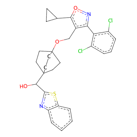 OC(c1nc2ccccc2s1)C12CCC(OCc3c(-c4c(Cl)cccc4Cl)noc3C3CC3)(CC1)CC2